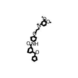 COc1ccc(N(C)CCCOc2ccc(NC(=O)c3cccc(C(=O)c4ccccc4)c3)cc2)cc1OC